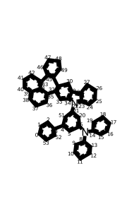 c1ccc(-c2cc(N(c3ccccc3)c3ccccc3)cc(-n3c4ccccc4c4cc5c(cc43)-c3cccc4cccc(c34)-c3ccccc3-5)c2)cc1